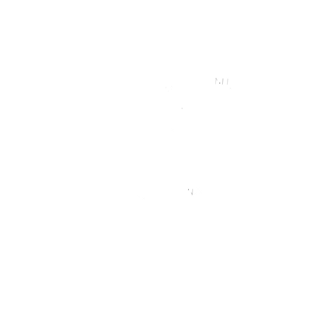 NC1CCc2c(ccc(OCc3ccccc3)c2[N+](=O)[O-])C1=O